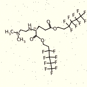 CN(C)CCN[C@@H](CCC(=O)OCCC(F)(F)C(F)(F)C(F)(F)C(F)(F)F)C(=O)OCCC(F)(F)C(F)(F)C(F)(F)C(F)(F)F